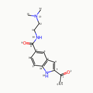 CCC(=O)c1cc2cc(C(=O)NCCN(C)C)ccc2[nH]1